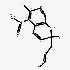 C/C=C/CC1(C)C=Cc2c(ccc(I)c2[N+](=O)[O-])O1